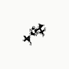 CC1(C)[C@H](I)[C@H]1c1noc(C2(C(F)(F)F)CC2)n1